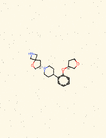 c1ccc(C2CCN([C@@H]3COC4(CNC4)C3)CC2)c(O[C@H]2CCOC2)c1